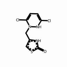 O=c1[nH]c(CN2NC(Cl)=CC=C2Cl)cs1